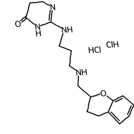 Cl.Cl.O=C1CCN=C(NCCCNCC2CCc3ccccc3O2)N1